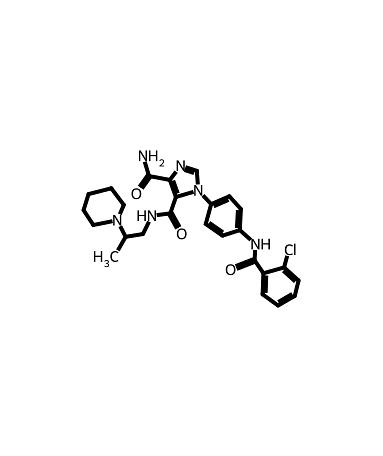 CC(CNC(=O)c1c(C(N)=O)ncn1-c1ccc(NC(=O)c2ccccc2Cl)cc1)N1CCCCC1